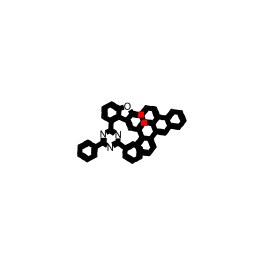 c1ccc(-c2nc(-c3ccccc3)nc(-c3cccc4oc5ccc(-c6ccccc6-c6cc7ccccc7c7ccccc67)cc5c34)n2)cc1